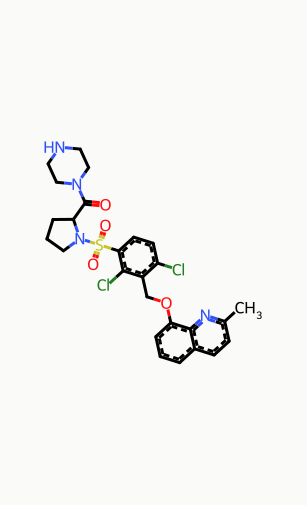 Cc1ccc2cccc(OCc3c(Cl)ccc(S(=O)(=O)N4CCCC4C(=O)N4CCNCC4)c3Cl)c2n1